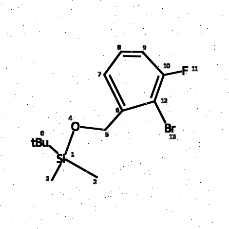 CC(C)(C)[Si](C)(C)OCc1cccc(F)c1Br